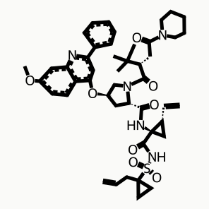 C=CCC1(S(=O)(=O)NC(=O)[C@@]2(NC(=O)[C@@H]3C[C@@H](Oc4cc(-c5ccccc5)nc5cc(OC)ccc45)CN3C(=O)[C@@H](CC(=O)N3CCCCC3)C(C)(C)C)C[C@H]2C=C)CC1